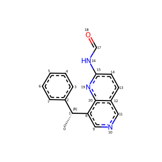 C[C@H](c1ccccc1)c1cncc2ccc(NC=O)nc12